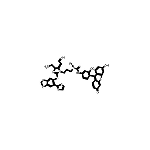 CC(C)N(CCCN1C(Sc2cc3c(cc2-c2nccs2)OCO3)=NC(CN)/C1=C\C=N)C(=S)Nc1ccc(-c2c3ccc(=O)cc-3oc3cc(O)ccc23)c(C(=O)O)c1